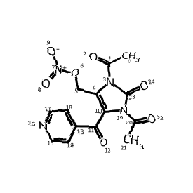 CC(=O)n1c(CO[N+](=O)[O-])c(C(=O)c2ccncc2)n(C(C)=O)c1=O